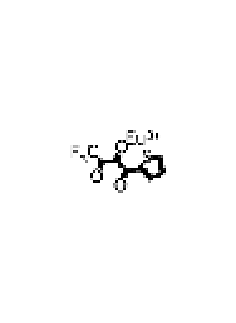 O=C(C(=O)c1cccs1)C(=O)C(F)(F)F.[Eu+3]